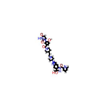 COc1ccc(C(=O)N2CCC(CCN3CCC(n4cc5cc(NC(=O)c6cccc(C)n6)c(C(C)(C)O)cc5n4)CC3)CC2)cc1N1CCC(=O)NC1=O